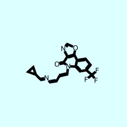 O=c1c2ncoc2c2ccc(C(F)(F)F)cc2n1/C=C/C=C\N=C\C1CC1